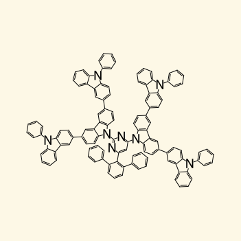 c1ccc(-c2cccc(-c3ccccc3)c2-c2cc(-n3c4ccc(-c5ccc6c(c5)c5ccccc5n6-c5ccccc5)cc4c4cc(-c5ccc6c(c5)c5ccccc5n6-c5ccccc5)ccc43)nc(-n3c4ccc(-c5ccc6c(c5)c5ccccc5n6-c5ccccc5)cc4c4cc(-c5ccc6c(c5)c5ccccc5n6-c5ccccc5)ccc43)n2)cc1